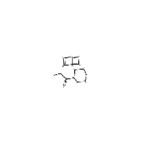 CCC(=O)C1CCNCC1.c1cc2ccc1-2